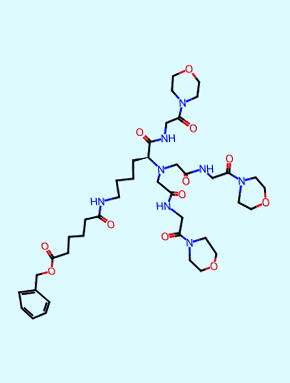 O=C(CCCCC(=O)OCc1ccccc1)NCCCC[C@@H](C(=O)NCC(=O)N1CCOCC1)N(CC(=O)NCC(=O)N1CCOCC1)CC(=O)NCC(=O)N1CCOCC1